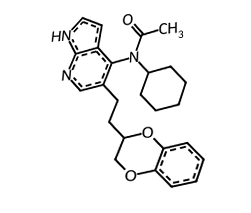 CC(=O)N(c1c(CCC2COc3ccccc3O2)cnc2[nH]ccc12)C1CCCCC1